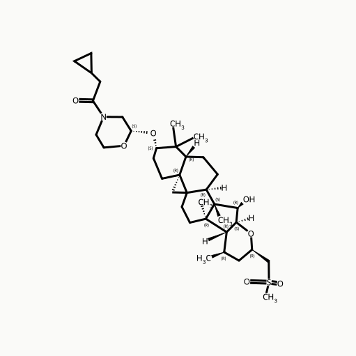 C[C@@H]1C[C@H](CS(C)(=O)=O)O[C@H]2[C@H]1[C@@]1(C)CCC34C[C@@]35CC[C@H](O[C@H]3CN(C(=O)CC6CC6)CCO3)C(C)(C)[C@@H]5CC[C@H]4[C@]1(C)[C@H]2O